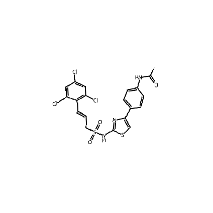 CC(=O)Nc1ccc(-c2csc(NS(=O)(=O)CC=Cc3c(Cl)cc(Cl)cc3Cl)n2)cc1